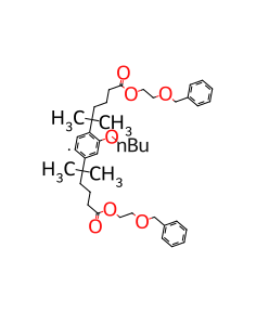 CCCCOc1cc(C(C)(C)CCCC(=O)OCCOCc2ccccc2)[c]cc1C(C)(C)CCCC(=O)OCCOCc1ccccc1